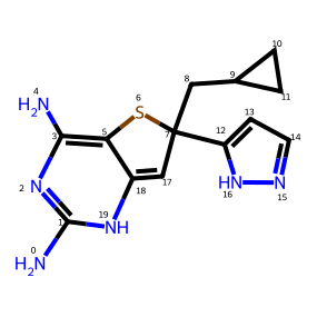 NC1=NC(N)=C2SC(CC3CC3)(c3ccn[nH]3)C=C2N1